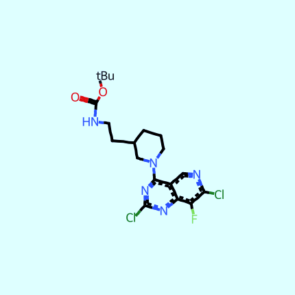 CC(C)(C)OC(=O)NCCC1CCCN(c2nc(Cl)nc3c(F)c(Cl)ncc23)C1